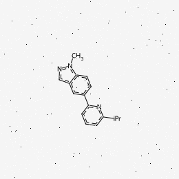 CC(C)c1cccc(-c2ccc3c(cnn3C)c2)n1